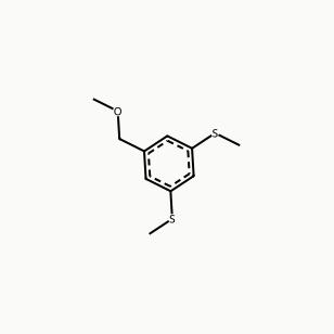 COCc1cc(SC)cc(SC)c1